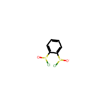 [O-][S+](Cl)c1ccccc1[S+]([O-])Cl